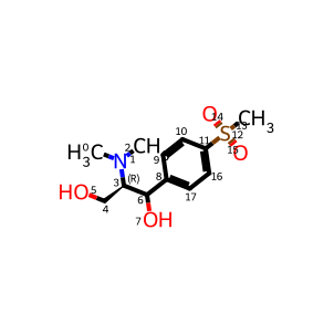 CN(C)[C@H](CO)C(O)c1ccc(S(C)(=O)=O)cc1